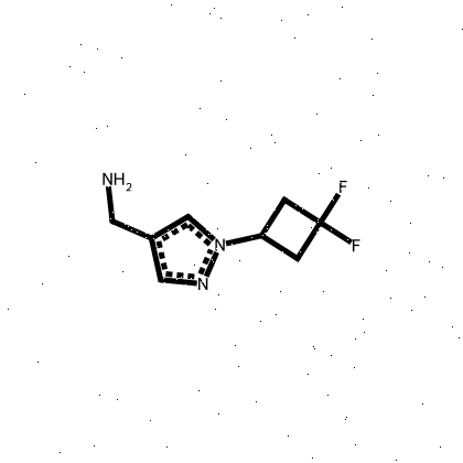 NCc1cnn(C2CC(F)(F)C2)c1